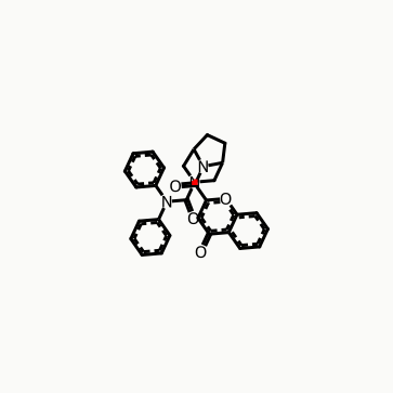 O=C(N1CC2CCC(C1)N2C(=O)c1cc(=O)c2ccccc2o1)N(c1ccccc1)c1ccccc1